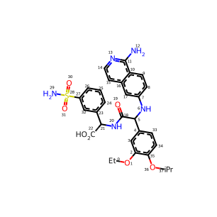 CCOc1cc(C(Nc2ccc3c(N)nccc3c2)C(=O)NC(C(=O)O)c2cccc(S(N)(=O)=O)c2)ccc1OC(C)C